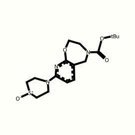 CC(C)(C)OC(=O)N1CCOc2nc(N3CC[S+]([O-])CC3)ccc2C1